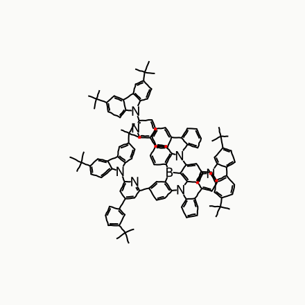 CC(C)(C)c1cccc(-c2cc(-c3ccc4c(c3)B3c5ccc(-c6ccc(-n7c8ccc(C(C)(C)C)cc8c8cc(C(C)(C)C)ccc87)nc6)cc5N(c5ccccc5-c5ccccc5)c5cc(-n6c7cc(C(C)(C)C)ccc7c7ccc(C(C)(C)C)cc76)cc(c53)N4c3ccccc3-c3ccccc3)nc(-n3c4ccc(C(C)(C)C)cc4c4cc(C(C)(C)C)ccc43)c2)c1